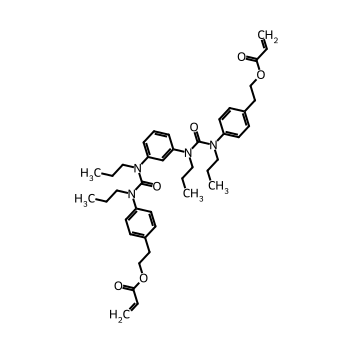 C=CC(=O)OCCc1ccc(N(CCC)C(=O)N(CCC)c2cccc(N(CCC)C(=O)N(CCC)c3ccc(CCOC(=O)C=C)cc3)c2)cc1